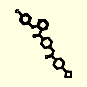 O=C(CN1CCN(C(=O)c2cccnc2Sc2ccc(Cl)cc2)CC1)N1CCN(C2CCC2)CC1